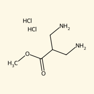 COC(=O)C(CN)CN.Cl.Cl